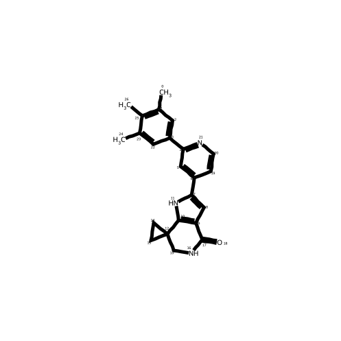 Cc1cc(-c2cc(-c3cc4c([nH]3)C3(CC3)CNC4=O)ccn2)cc(C)c1C